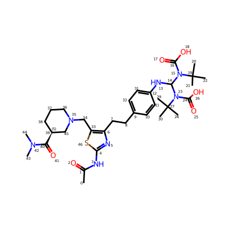 CC(=O)Nc1nc(CCc2ccc(NC(N(C(=O)O)C(C)(C)C)N(C(=O)O)C(C)(C)C)cc2)c(CN2CCC[C@H](C(=O)N(C)C)C2)s1